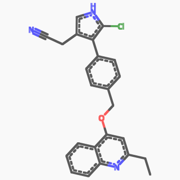 CCc1cc(OCc2ccc(-c3c(CC#N)c[nH]c3Cl)cc2)c2ccccc2n1